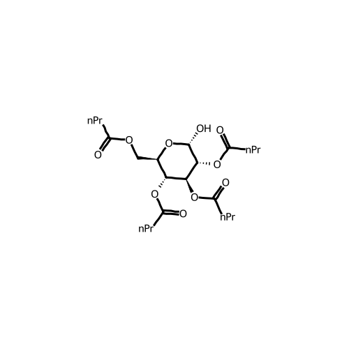 CCCC(=O)OC[C@H]1O[C@H](O)[C@H](OC(=O)CCC)[C@@H](OC(=O)CCC)[C@@H]1OC(=O)CCC